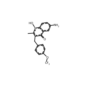 Cc1c(Cc2ccc(OC(F)(F)F)cc2)c(=O)c2cc(N)ccc2n1O